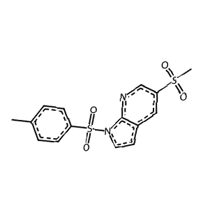 Cc1ccc(S(=O)(=O)n2ccc3cc(S(C)(=O)=O)cnc32)cc1